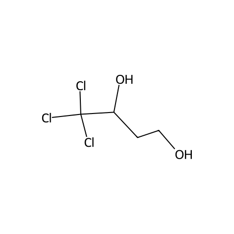 OCCC(O)C(Cl)(Cl)Cl